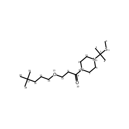 CSC(C)(C)N1CCN(C(=O)CCOCCCC(C)(C)C)CC1